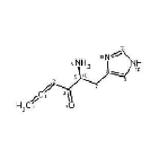 C=C=CC(=O)[C@@H](N)Cc1c[nH]cn1